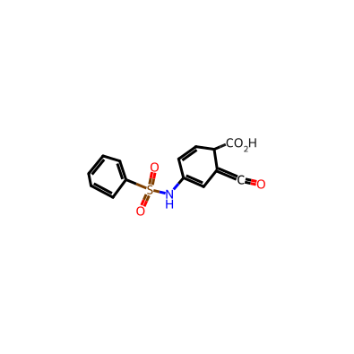 O=C=C1C=C(NS(=O)(=O)c2ccccc2)C=CC1C(=O)O